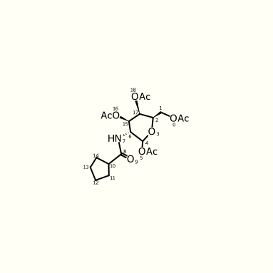 CC(=O)OC[C@H]1OC(OC(C)=O)[C@H](NC(=O)C2CCCC2)[C@@H](OC(C)=O)[C@H]1OC(C)=O